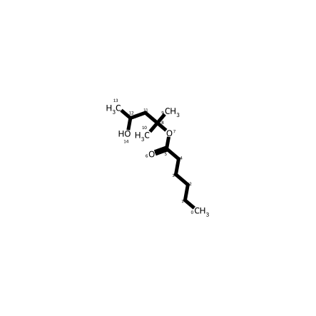 CCCCCC(=O)OC(C)(C)CC(C)O